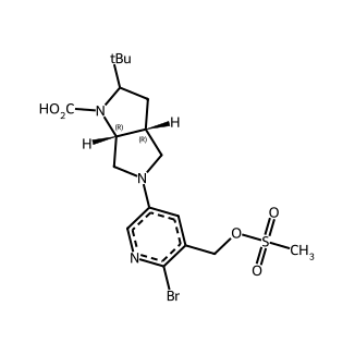 CC(C)(C)C1C[C@@H]2CN(c3cnc(Br)c(COS(C)(=O)=O)c3)C[C@@H]2N1C(=O)O